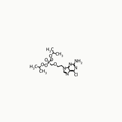 CC(C)OOP(=O)(COCCn1cnc2c(Cl)nc(N)nc21)OOC(C)C